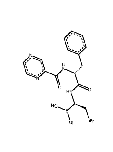 CC(C)C[C@H](NC(=O)[C@@H](Cc1ccccc1)NC(=O)c1cnccn1)B(O)O